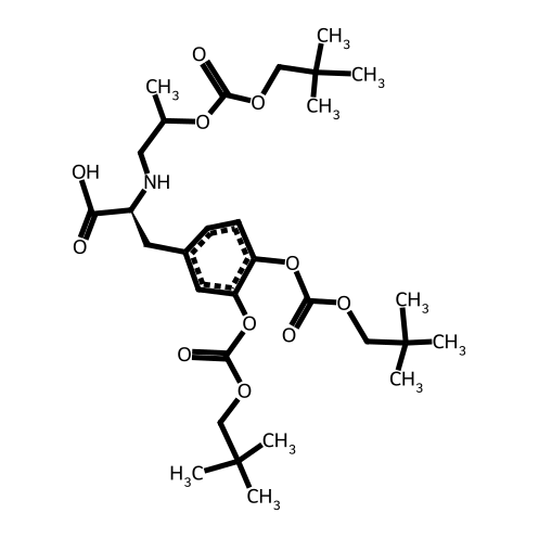 CC(CN[C@@H](Cc1ccc(OC(=O)OCC(C)(C)C)c(OC(=O)OCC(C)(C)C)c1)C(=O)O)OC(=O)OCC(C)(C)C